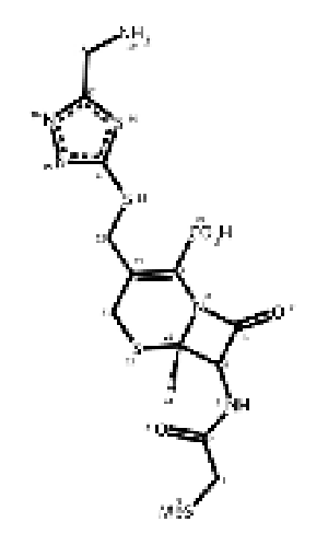 CSCC(=O)NC1C(=O)N2C(C(=O)O)=C(CSc3nnc(CN)s3)CS[C@@H]12